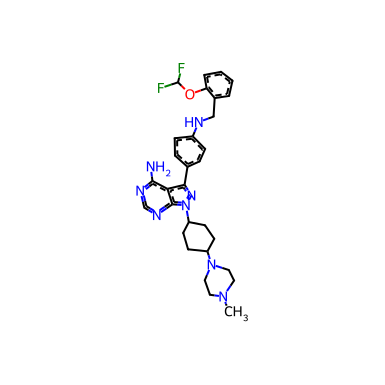 CN1CCN(C2CCC(n3nc(-c4ccc(NCc5ccccc5OC(F)F)cc4)c4c(N)ncnc43)CC2)CC1